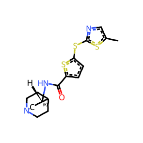 Cc1cnc(Sc2ccc(C(=O)N[C@H]3CN4CCC3CC4)s2)s1